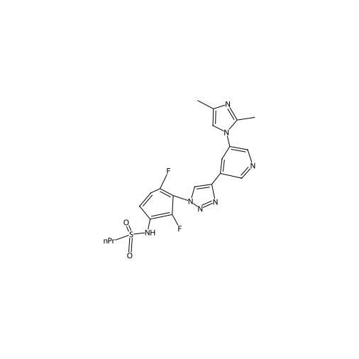 CCCS(=O)(=O)Nc1ccc(F)c(-n2cc(-c3cncc(-n4cc(C)nc4C)c3)nn2)c1F